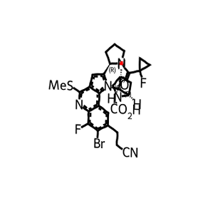 CSc1nc2c(F)c(Br)c(CCC#N)cc2c2c1cc([C@H]1CCCN1C(=O)C1(F)CC1)n2[C@H]1[C@@H]2C[C@H]1N(C(=O)O)C2